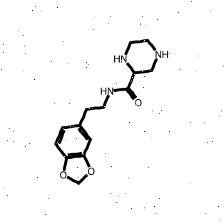 O=C(NCCc1ccc2c(c1)OCO2)C1CNCCN1